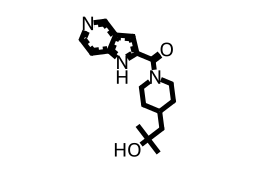 CC(C)(O)CC1CCN(C(=O)c2cc3cnccc3[nH]2)CC1